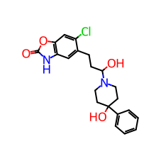 O=c1[nH]c2cc(CCC(O)N3CCC(O)(c4ccccc4)CC3)c(Cl)cc2o1